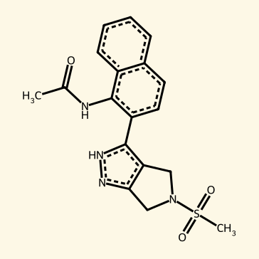 CC(=O)Nc1c(-c2[nH]nc3c2CN(S(C)(=O)=O)C3)ccc2ccccc12